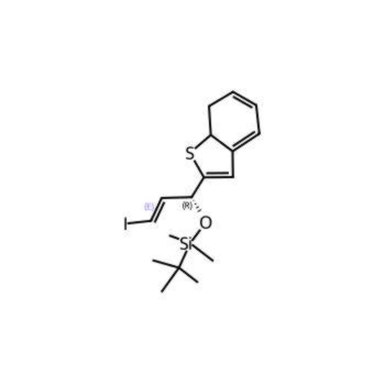 CC(C)(C)[Si](C)(C)O[C@H](/C=C/I)C1=CC2=CC=CCC2S1